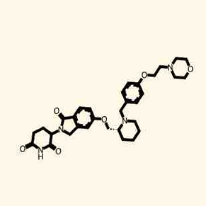 O=C1CCC(N2Cc3cc(OC[C@H]4CCCCN4Cc4ccc(OCCN5CCOCC5)cc4)ccc3C2=O)C(=O)N1